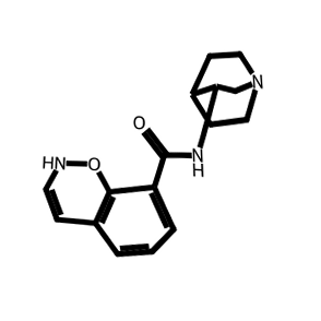 O=C(NC1CN2CCC1CC2)c1cccc2c1ONC=C2